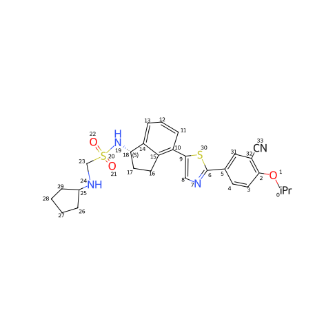 CC(C)Oc1ccc(-c2ncc(-c3cccc4c3CC[C@@H]4NS(=O)(=O)CNC3CCCC3)s2)cc1C#N